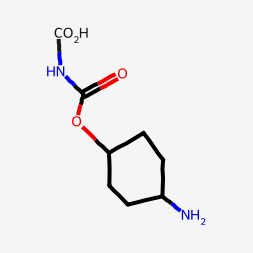 NC1CCC(OC(=O)NC(=O)O)CC1